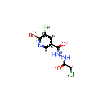 O=C(CCl)NNC(=O)c1cnc(Br)c(F)c1